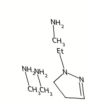 CCN1CCC=N1.CN.CN.CN